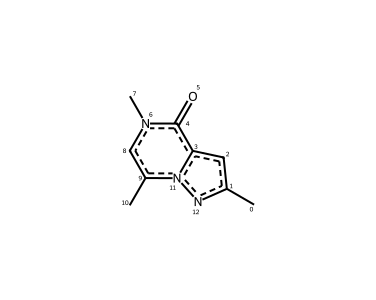 Cc1cc2c(=O)n(C)cc(C)n2n1